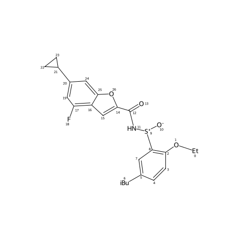 CCOc1ccc(C(C)CC)cc1[S+]([O-])NC(=O)c1cc2c(F)cc(C3CC3)cc2o1